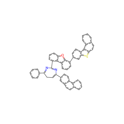 C1=C(c2ccc3c(ccc4ccccc43)c2)N=C(c2cccc3oc4c(-c5ccc6c(c5)sc5ccc7ccccc7c56)cccc4c23)N=C(c2ccccc2)C1